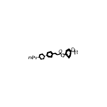 CCC[C@H]1CC[C@H](c2ccc(CCC(=O)Oc3ccc(OCC)cc3)cc2)CC1